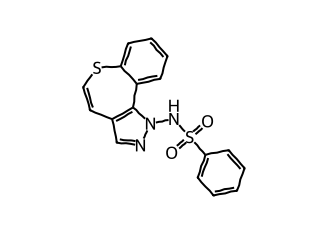 O=S(=O)(Nn1ncc2c1-c1ccccc1SC=C2)c1ccccc1